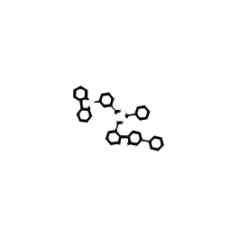 c1ccc(-c2ccc3c(c2)oc2cccc(-c4nc(-c5ccccc5)nc(-c5cccc(-n6c7ccccc7c7ccccc76)c5)n4)c23)cc1